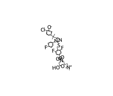 COc1cc(C(C)(C)c2cnc(SCc3c(F)cc(S(=O)(=O)N(CCC[N+](C)(C)C)CC(=O)O)cc3F)n2-c2ccc(F)cc2)ccc1Cl